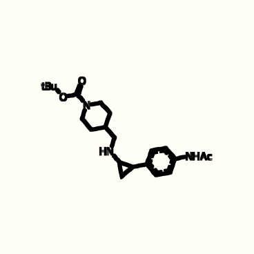 CC(=O)Nc1ccc(C2CC2NCC2CCN(C(=O)OC(C)(C)C)CC2)cc1